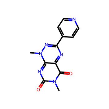 Cn1nc(-c2ccncc2)nc2c(=O)n(C)c(=O)nc1-2